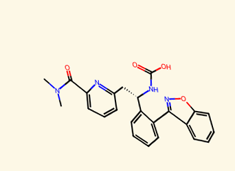 CN(C)C(=O)c1cccc(C[C@H](NC(=O)O)c2ccccc2-c2noc3ccccc23)n1